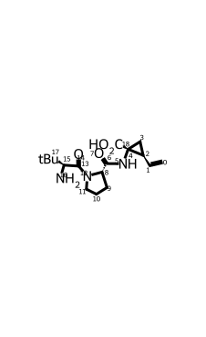 C=C[C@@H]1C[C@]1(NC(=O)[C@@H]1CCCN1C(=O)[C@@H](N)C(C)(C)C)C(=O)O